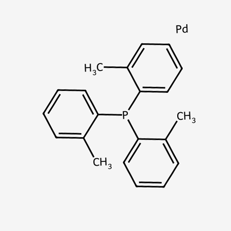 Cc1ccccc1P(c1ccccc1C)c1ccccc1C.[Pd]